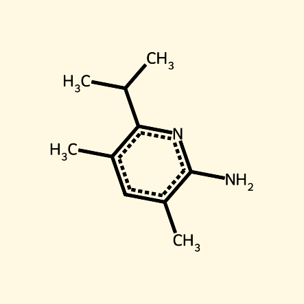 Cc1cc(C)c(C(C)C)nc1N